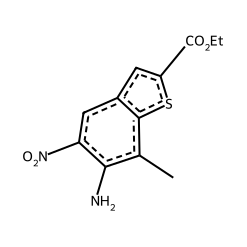 CCOC(=O)c1cc2cc([N+](=O)[O-])c(N)c(C)c2s1